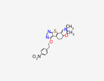 CN(C)C=C1C(=O)CCc2c1sc1ncnc(OCCc3ccc([N+](=O)[O-])cc3)c21